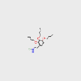 CCCCOc1ccc(CCNCl)c(OCCCC)c1OCCCC